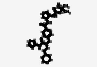 CC(C)(C)OC(=O)NC1=CSCC1NC(=O)c1ccc(CN(CCN2CCOCC2)C(=O)Nc2ccsc2)cn1